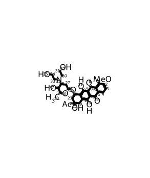 COc1cccc2c1C(=O)c1c(O)c3c(c(O)c1C2=O)C[C@@](O)(C(C)=O)C[C@@H]3OC1CC(N(CCO)CCO)C(O)C(C)O1